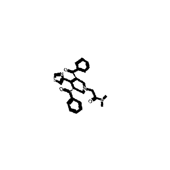 CN(C)C(=O)CN1C[C@H](C(=O)c2ccccc2)C(c2cscn2)[C@@H](C(=O)c2ccccc2)C1